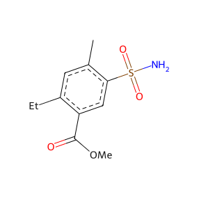 CCc1cc(C)c(S(N)(=O)=O)cc1C(=O)OC